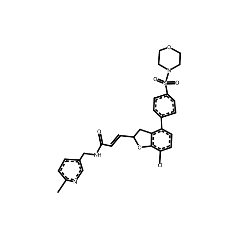 Cc1ccc(CNC(=O)/C=C/C2Cc3c(-c4ccc(S(=O)(=O)N5CCOCC5)cc4)ccc(Cl)c3O2)cn1